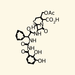 CC(=O)OCC1=C(C(=O)O)N2C(=O)C(NC(=O)C(NC(=O)NC(=O)c3cccc(O)c3O)c3ccccc3)[C@@H]2SC1